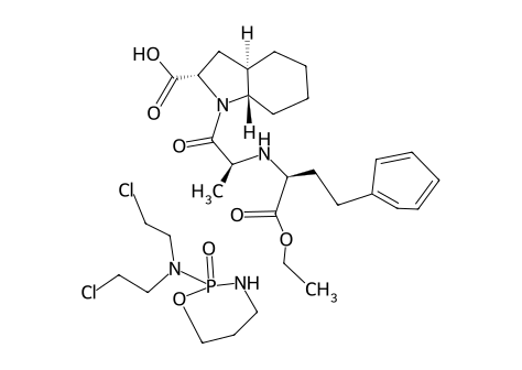 CCOC(=O)[C@H](CCc1ccccc1)N[C@@H](C)C(=O)N1[C@H](C(=O)O)C[C@H]2CCCC[C@@H]21.O=P1(N(CCCl)CCCl)NCCCO1